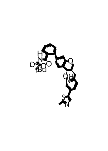 Cc1ncc(-c2ccc(C[C@@H]3COc4cc(-c5ccccc5C(=O)NS(=O)(=O)C(C)(C)C)ccc4[C@H]3O)nc2)s1